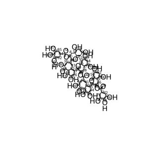 O=C(O[C@@H]1Cc2c(O)cc(O)cc2O[C@@H]1c1cc(O)c(=O)c2c(O)c(O)cc([C@@H]3Oc4cc(O)cc(O)c4C[C@H]3OC(=O)c3cc(O)c(=O)c4c(O)c(O)cc([C@H]5Oc6cc(O)cc(O)c6C[C@H]5OC(=O)c5cc(O)c(O)c(O)c5)c4c3)c2c1)c1cc(O)c(O)c(O)c1